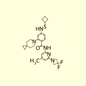 Cc1cc(NC(=O)c2ccc(NSC3CCC3)cc2N2CCC3(CC2)CC3)nc(N2CC(F)(F)C2)c1